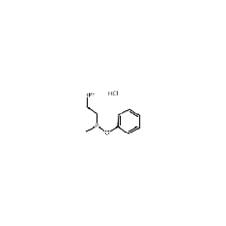 CC(C)CCP(C)Oc1ccccc1.Cl